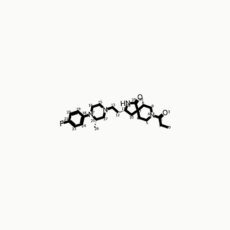 CCC(=O)N1CCC2(CC1)C[C@H](CCN1CCN(c3ccc(F)cc3)[C@@H](C)C1)NC2=O